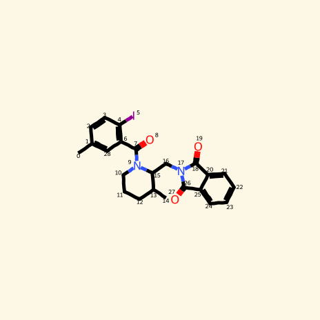 Cc1ccc(I)c(C(=O)N2CCCC(C)C2CN2C(=O)c3ccccc3C2=O)c1